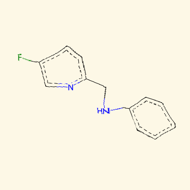 Fc1ccc(CNc2ccccc2)nc1